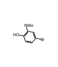 CNc1cc(Br)ccc1O